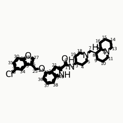 O=C(NC1CCN(C[C@@H]2CCCN3CCCC[C@H]23)CC1)c1cc2c(OCc3coc4ccc(Cl)cc34)cccc2[nH]1